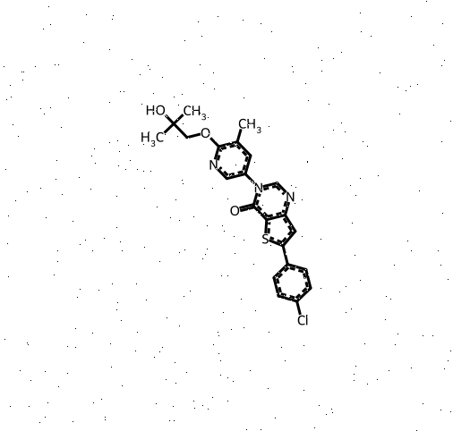 Cc1cc(-n2cnc3cc(-c4ccc(Cl)cc4)sc3c2=O)cnc1OCC(C)(C)O